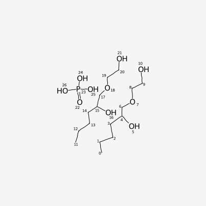 CCCCC(O)COCCO.CCCCC(O)COCCO.O=P(O)(O)O